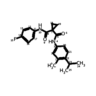 Cc1cc(NC(=O)C2(C(=O)Nc3ccc(F)cc3)CC2)ccc1C(C)C